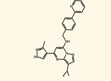 Cc1n[nH]cc1-c1cc(NCc2ccc(-c3ccccn3)cc2)n2ncc(C3CC3)c2n1